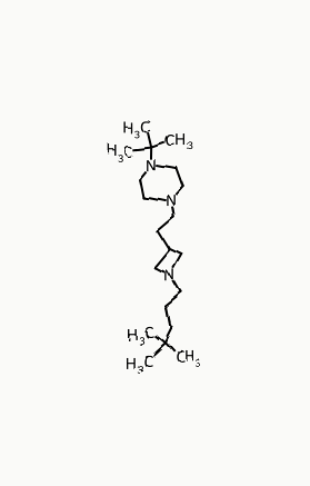 CC(C)(C)CCCN1CC(CCN2CCN(C(C)(C)C)CC2)C1